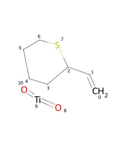 C=CC1CCCCS1.[O]=[Ti]=[O]